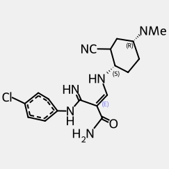 CN[C@@H]1CC[C@H](N/C=C(\C(=N)Nc2ccc(Cl)cc2)C(N)=O)C(C#N)C1